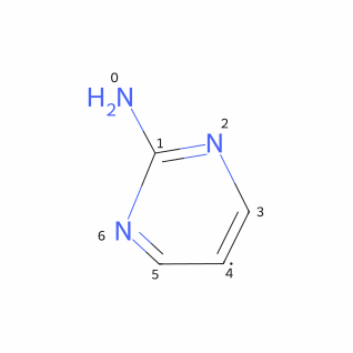 Nc1nc[c]cn1